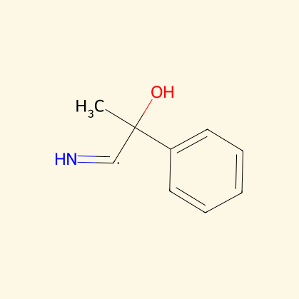 CC(O)([C]=N)c1ccccc1